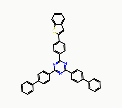 c1ccc(-c2ccc(-c3nc(-c4ccc(-c5ccccc5)cc4)nc(-c4ccc(-c5cc6ccccc6s5)cc4)n3)cc2)cc1